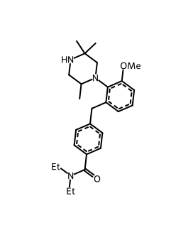 CCN(CC)C(=O)c1ccc(Cc2cccc(OC)c2N2CC(C)(C)NCC2C)cc1